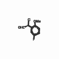 COc1ccc(F)cc1[C@H](Cl)C=O